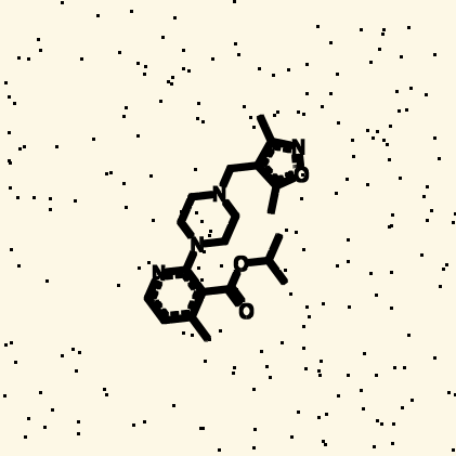 Cc1ccnc(N2CCN(Cc3c(C)noc3C)CC2)c1C(=O)OC(C)C